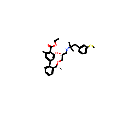 CCOC(=O)c1ccc(-c2ccccc2[C@@H](C)OC[C@H](O)CNC(C)(C)Cc2cccc(SC)c2)cc1C